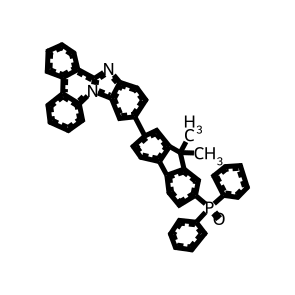 CC1(C)c2cc(-c3ccc4nc5c6ccccc6c6ccccc6n5c4c3)ccc2-c2ccc(P(=O)(c3ccccc3)c3ccccc3)cc21